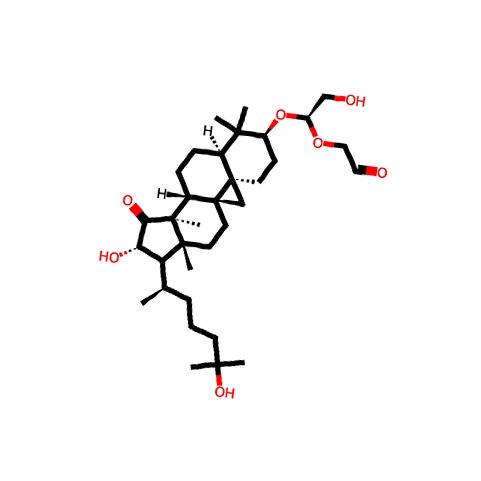 C[C@H](CCCC(C)(C)O)C1[C@H](O)C(=O)[C@@]2(C)[C@@H]3CC[C@H]4C(C)(C)[C@@H](O[C@@H](CO)OCC=O)CC[C@@]45C[C@@]35CC[C@]12C